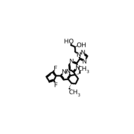 CC[C@H]1CC[C@](CC)(c2ccnc(-c3ncnn3C[C@@H](O)CO)n2)c2nnc(-c3c(F)cccc3F)cc21